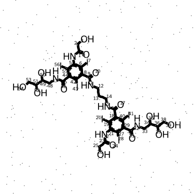 O=C(CO)Nc1c(I)c(C(=O)NCCCNC(=O)c2c(I)c(NC(=O)CO)c(I)c(C(=O)NCC(O)C(O)CO)c2I)c(I)c(C(=O)NCC(O)C(O)CO)c1I